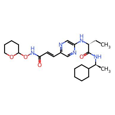 CC[C@@H](Nc1cnc(/C=C/C(=O)NOC2CCCCO2)cn1)C(=O)N[C@@H](C)C1CCCCC1